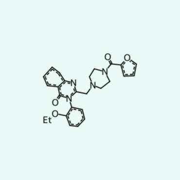 CCOc1ccccc1-n1c(CN2CCN(C(=O)c3ccco3)CC2)nc2ccccc2c1=O